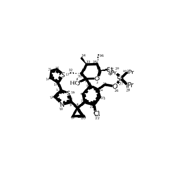 CC[C@H]1OC(O)(c2cc(C3(c4ncc(-c5cccs5)s4)CC3)c(Cl)cc2CO[Si](C(C)C)(C(C)C)C(C)C)[C@H](C)[C@@H](C)[C@@H]1C